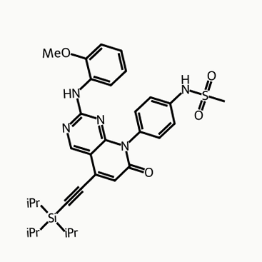 COc1ccccc1Nc1ncc2c(C#C[Si](C(C)C)(C(C)C)C(C)C)cc(=O)n(-c3ccc(NS(C)(=O)=O)cc3)c2n1